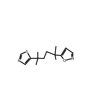 CC(C)(CCC(C)(C)c1cncs1)c1ccno1